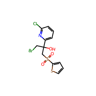 O=S(=O)(CC(O)(CBr)c1cccc(Cl)n1)c1cccs1